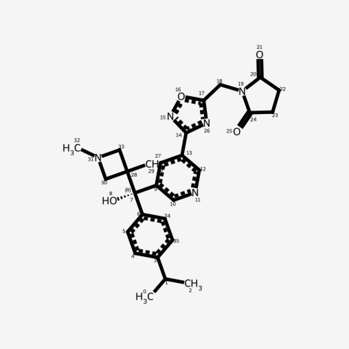 CC(C)c1ccc([C@](O)(c2cncc(-c3noc(CN4C(=O)CCC4=O)n3)c2)C2(C)CN(C)C2)cc1